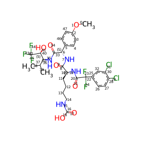 COc1ccc([C@H](NC(=O)[C@H](CCCCNC(=O)O)NC(=O)C(F)(F)c2ccc(Cl)c(Cl)c2)C(=O)N[C@@H](C(C)C)[C@H](O)C(F)(F)F)cc1